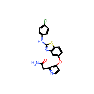 NC(=O)Cc1cc(Oc2ccc3sc(Nc4ccc(Cl)cc4)nc3c2)ccn1